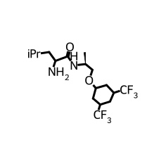 CC(C)CC(N)C(=O)N[C@@H](C)COC1CC(C(F)(F)F)CC(C(F)(F)F)C1